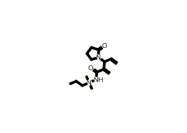 C=CC(C(=C)C(=O)N[N+](C)(C)CCC)N1CCCC1=O